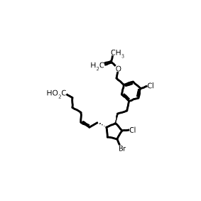 C=C(C)OCc1cc(Cl)cc(CC[C@H]2C(Cl)C(Br)C[C@@H]2C/C=C\CCCC(=O)O)c1